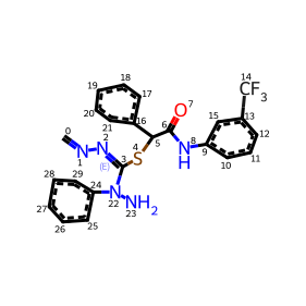 C=N/N=C(/SC(C(=O)Nc1cccc(C(F)(F)F)c1)c1ccccc1)N(N)c1ccccc1